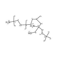 CC(CCC(C)(C)OCC(C)(C)N)CC(N)(CO)COC(C)(C)C